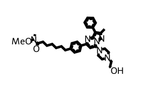 CON(C)C(=O)CCCCCCc1ccc(-c2cc(N3CCN(CCO)CC3)n3nc(C)c(-c4ccccc4)c3n2)cc1